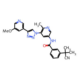 COc1cncc(-c2cn(-c3cc(NC(=O)c4cccc(C(C)(C)C#N)c4)cnc3C)nn2)c1